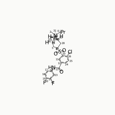 CC(C)N(C)[C@H]1[C@H]2C[C@@H](S(=O)(=O)c3cc(C(=O)Nc4ccc(F)c(F)c4)ccc3Cl)C[C@@H]1[C@@H](C)C2